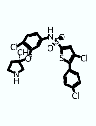 C[C@@]1(Oc2cc(NS(=O)(=O)c3cc(Cl)c(-c4ccc(Cl)cc4)s3)ccc2Cl)CCNC1